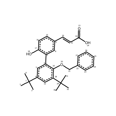 CC(C)(C)c1cc(-c2cc(C=CC(=O)O)ccc2O)c(OCc2ccccc2)c(C(C)(C)C)c1